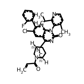 C=CC(=O)N1C[C@@H]2CC[C@H]1CN2c1nc(=O)n(-c2c(C)ccnc2C(C)C)c2nc(-c3ccccc3F)c(Cl)cc12